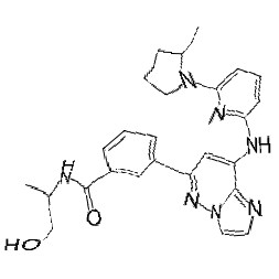 CC(CO)NC(=O)c1cccc(-c2cc(Nc3cccc(N4CCCC4C)n3)c3nccn3n2)c1